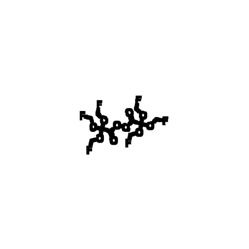 O=C(OOC(=O)C(OCF)(OCF)OCF)C(OCF)(OCF)OCF